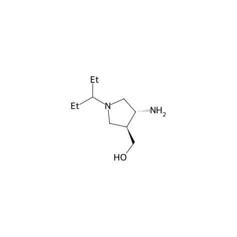 CCC(CC)N1C[C@H](CO)[C@@H](N)C1